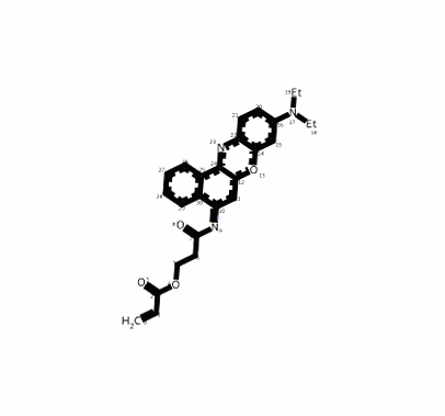 C=CC(=O)OCCC(=O)/N=c1/cc2oc3cc(N(CC)CC)ccc3nc-2c2ccccc12